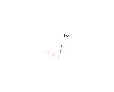 [I-].[I-].[I-].[I-].[I-].[I-].[I-].[Re+7]